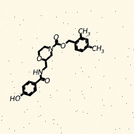 Cc1ccc(COC(=O)N2CCOC(CNC(=O)c3ccc(O)cc3)C2)c(C)c1